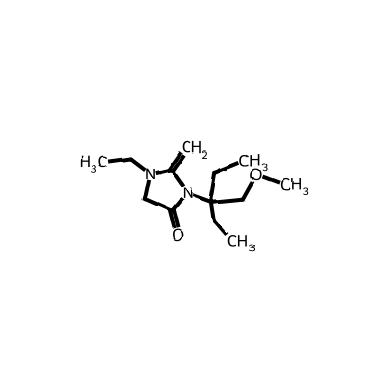 C=C1N(CC)CC(=O)N1C(CC)(CC)COC